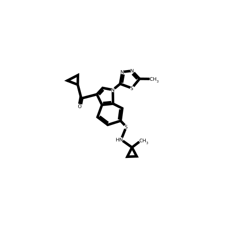 Cc1nnc(-n2cc(C(=O)C3CC3)c3ccc(SNC4(C)CC4)cc32)s1